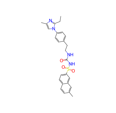 CCc1nc(C)cn1-c1ccc(CCNC(=O)NS(=O)(=O)c2ccc3ccc(C)cc3c2)cc1